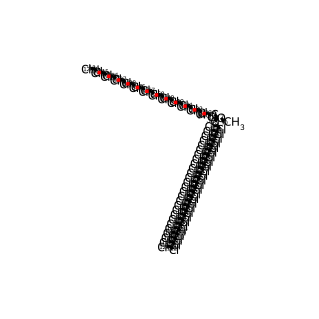 CCOC(C)=O.ClCCl.ClCCl.ClCCl.ClCCl.ClCCl.ClCCl.ClCCl.ClCCl.ClCCl.ClCCl.ClCCl.ClCCl.ClCCl.ClCCl.ClCCl.ClCCl.ClCCl.ClCCl.ClCCl.ClCCl.ClCCl.ClCCl.ClCCl.ClCCl.ClCCl.ClCCl.ClCCl.ClCCl.ClCCl.ClCCl.ClCCl.ClCCl.ClCCl.ClCCl.ClCCl.ClCCl.ClCCl.ClCCl.ClCCl.ClCCl